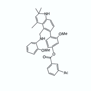 COc1ccccc1NCc1c(-c2ccc(OC(=O)c3cccc(C(C)=O)c3)cc2OC)ccc2c1C(C)=CC(C)(C)N2